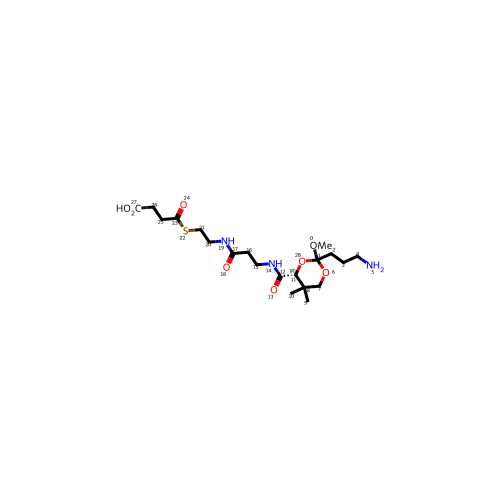 COC1(CCCN)OCC(C)(C)[C@H](C(=O)NCCC(=O)NCCSC(=O)CCC(=O)O)O1